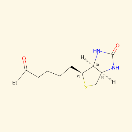 CCC(=O)CCCC[C@@H]1SC[C@@H]2NC(=O)N[C@@H]21